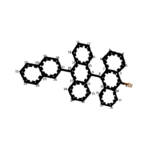 Brc1c2ccccc2c(-c2c3ccccc3c(-c3ccc4ccccc4c3)c3ccccc23)c2ccccc12